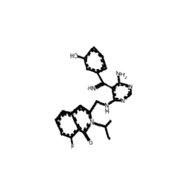 CC(C)n1c(CNc2ncnc(N)c2C(=N)c2cccc(O)c2)cc2cccc(F)c2c1=O